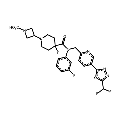 O=C(O)N1CC(N2CCC(F)(C(=O)N(Cc3ccc(-c4nnc(C(F)F)o4)cn3)c3cccc(F)c3)CC2)C1